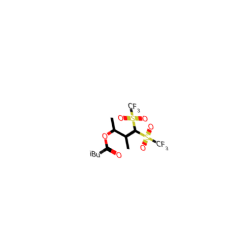 CCC(C)C(=O)OC(C)C(C)C(S(=O)(=O)C(F)(F)F)S(=O)(=O)C(F)(F)F